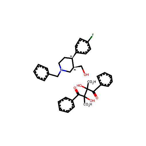 O=C(O)C(O)(C(=O)c1ccccc1)C(O)(C(=O)O)C(=O)c1ccccc1.OC[C@H]1CN(Cc2ccccc2)CC[C@H]1c1ccc(F)cc1